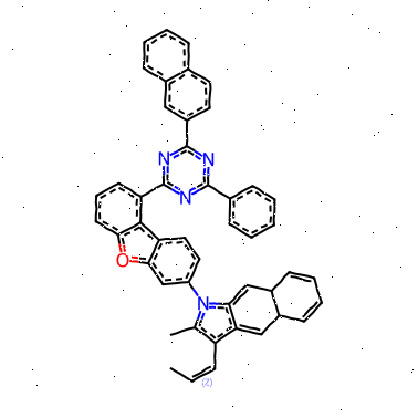 C/C=C\c1c(C)n(-c2ccc3c(c2)oc2cccc(-c4nc(-c5ccccc5)nc(-c5ccc6ccccc6c5)n4)c23)c2c1=CC1C=CC=CC1C=2